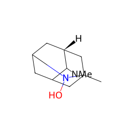 CNC1C2CC3C[C@@H]1CC(C)(C2)N3O